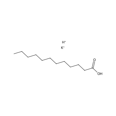 CCCCCCCCCCCC(=O)O.[H+].[K+]